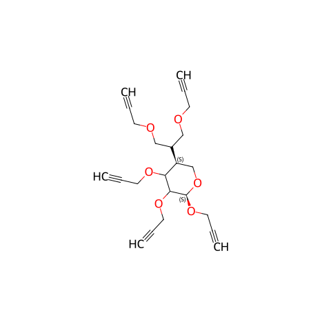 C#CCOCC(COCC#C)[C@H]1CO[C@@H](OCC#C)C(OCC#C)C1OCC#C